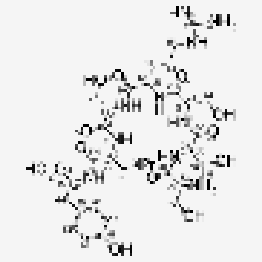 CC(C)C[C@H](NC(=O)[C@H](CO)NC(=O)[C@H](CCCNC(=N)N)NC(=O)[C@H](CO)NC(=O)[C@@H](NC(=O)[C@@H](N)CO)[C@@H](C)O)C(=O)N[C@@H](Cc1ccc(O)cc1)C(=O)O